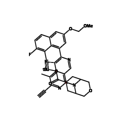 C#Cc1nc(N2C3COCC2CN(C(=O)OC(C)(C)C)C3)c2cnc(-c3cc(OCOC)cc4ccc(F)c(C#C)c34)c(F)c2c1C